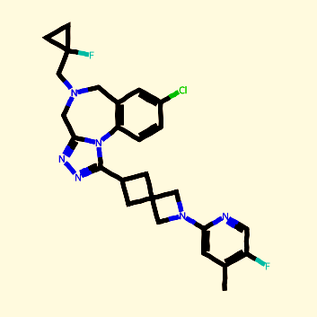 Cc1cc(N2CC3(CC(c4nnc5n4-c4ccc(Cl)cc4CN(CC4(F)CC4)C5)C3)C2)ncc1F